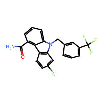 NC(=O)c1cccc2c1c1[c]cc(Cl)cc1n2Cc1cccc(C(F)(F)F)c1